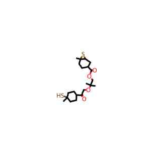 CC1(S)CCC(C(=O)COC(C)(C)COC(=O)C2CCC3(C)SC3C2)CC1